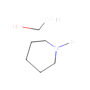 CC(=O)N1CCCCC1.O=C(O)CO